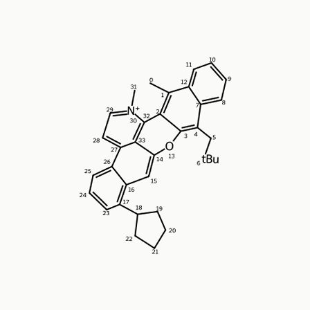 Cc1c2c(c(CC(C)(C)C)c3ccccc13)Oc1cc3c(C4CCCC4)cccc3c3cc[n+](C)c-2c13